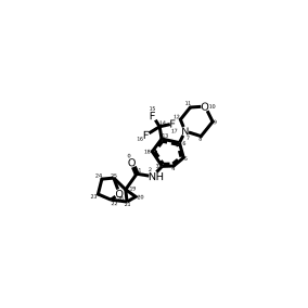 O=C(Nc1ccc(N2CCOCC2)c(C(F)(F)F)c1)C12CC1C1CCC2O1